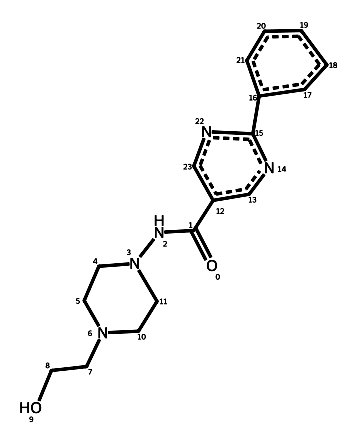 O=C(NN1CCN(CCO)CC1)c1cnc(-c2ccccc2)nc1